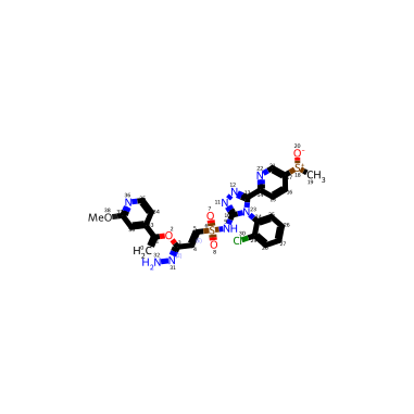 C=C(OC(/C=C/S(=O)(=O)Nc1nnc(-c2ccc([S+](C)[O-])cn2)n1-c1ccccc1Cl)=N\N)c1ccnc(OC)c1